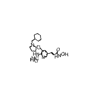 Cl.Cl.O=C(C=Cc1cnc(N[C@@H]2CCN(CC3CCCCC3)C2)c(Cl)c1)NO